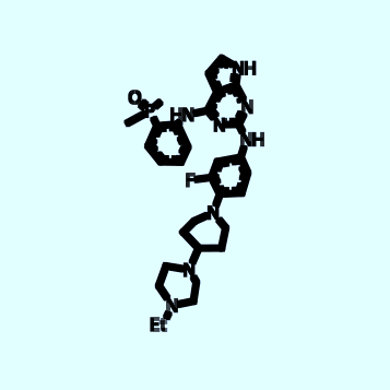 CCN1CCN(C2CCN(c3ccc(Nc4nc(Nc5ccccc5P(C)(C)=O)c5cc[nH]c5n4)cc3F)CC2)CC1